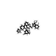 Cc1cc(F)cc(C[C@H](NC(=O)Cn2nc(C(F)(F)F)c3c2CCCC3)c2ncccc2-c2ccc(N3CCCC3)nc2)c1